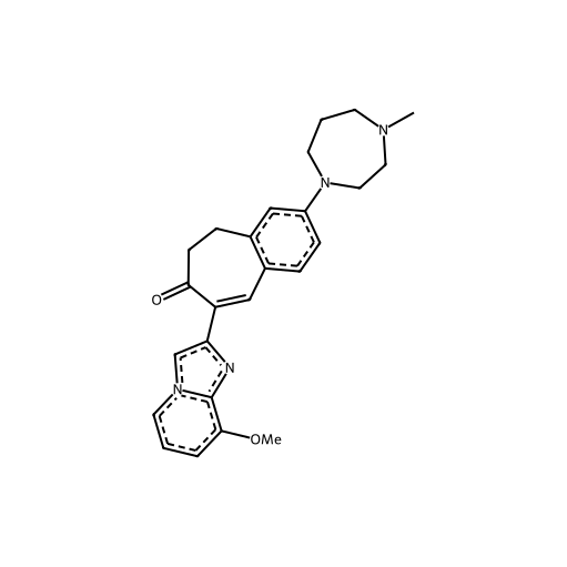 COc1cccn2cc(C3=Cc4ccc(N5CCCN(C)CC5)cc4CCC3=O)nc12